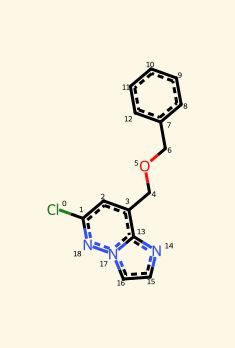 Clc1cc(COCc2ccccc2)c2nccn2n1